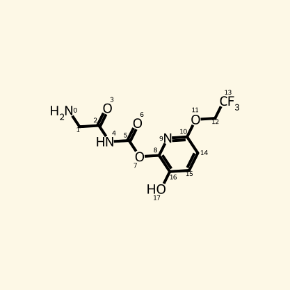 NCC(=O)NC(=O)Oc1nc(OCC(F)(F)F)ccc1O